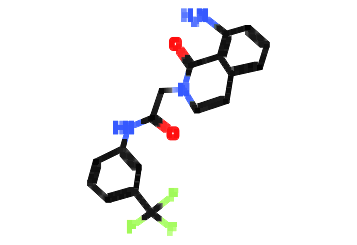 Nc1cccc2ccn(CC(=O)Nc3cccc(C(F)(F)F)c3)c(=O)c12